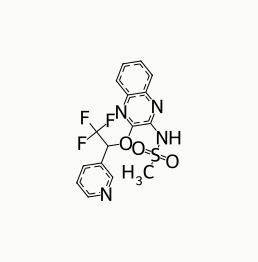 CS(=O)(=O)Nc1nc2ccccc2nc1OC(c1cccnc1)C(F)(F)F